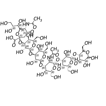 CC(=O)N[C@H]1[C@H](O[C@H]2[C@@H](O)[C@@H](CO)O[C@@H](O[C@H]3[C@H](O)[C@@H](O)[C@H](O)O[C@@H]3CO)[C@@H]2O)O[C@H](CO)[C@@H](O)[C@@H]1O[C@@H]1O[C@H](CO)[C@H](O)[C@H](O[C@@H]2O[C@H](CO)[C@H](O)[C@H](O[C@]3(C(=O)O)C[C@H](O)[C@@H](NC(C)=O)[C@H]([C@H](O)[C@H](O)CO)O3)[C@H]2O)[C@H]1O